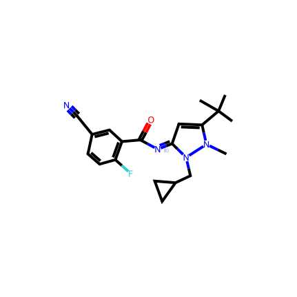 Cn1c(C(C)(C)C)c/c(=N\C(=O)c2cc(C#N)ccc2F)n1CC1CC1